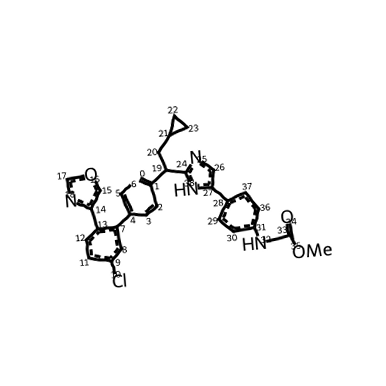 C=C(/C=C\C(=C/C)c1cc(Cl)ccc1-c1cocn1)C(CC1CC1)c1ncc(-c2ccc(NC(=O)OC)cc2)[nH]1